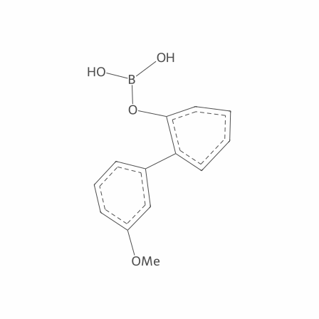 COc1cccc(-c2ccccc2OB(O)O)c1